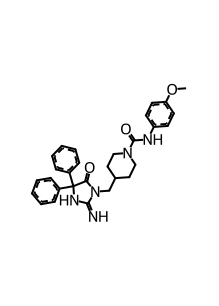 COc1ccc(NC(=O)N2CCC(CN3C(=N)NC(c4ccccc4)(c4ccccc4)C3=O)CC2)cc1